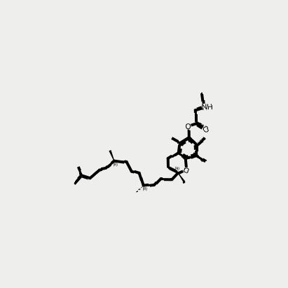 CNCC(=O)Oc1c(C)c(C)c2c(c1C)CC[C@@](C)(CCC[C@H](C)CCC[C@H](C)CCCC(C)C)O2